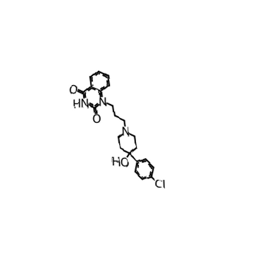 O=c1[nH]c(=O)n(CCCN2CCC(O)(c3ccc(Cl)cc3)CC2)c2ccccc12